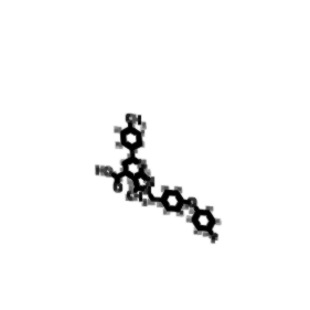 Cc1ccc(-c2cc(C(=O)O)c3c(C)n(Cc4ccc(Oc5ccc(F)cc5)cc4)nc3n2)cc1